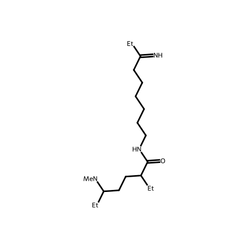 CCC(=N)CCCCCCNC(=O)C(CC)CCC(CC)NC